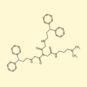 CN(C)CCCNC(=O)CN(C(=O)CNCCC(c1ccccc1)c1ccccc1)C(=O)CNCCC(c1ccccc1)c1ccccc1